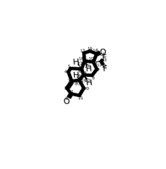 O=C1C=C2CC[C@@H]3[C@H](CC[C@]4(C(F)F)C(=O)CC[C@@H]34)[C@H]2CC1